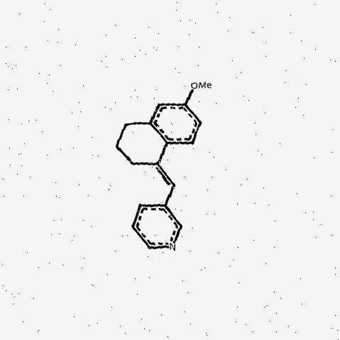 COc1ccc2c(c1)CCC/C2=C\c1cccnc1